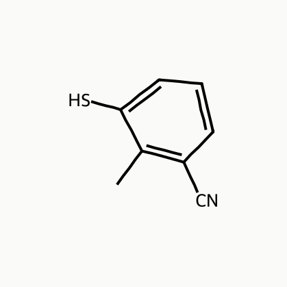 Cc1c(S)cccc1C#N